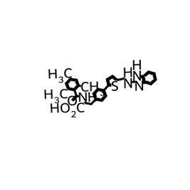 Cc1cc(C)c(C(=O)NC(Cc2ccc(-c3ccc(CNc4nc5ccccc5[nH]4)s3)cc2)C(=O)O)c(C)c1